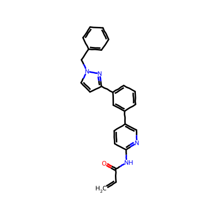 C=CC(=O)Nc1ccc(-c2cccc(-c3ccn(Cc4ccccc4)n3)c2)cn1